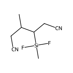 CC(CC#N)C(CC#N)[Si](C)(F)F